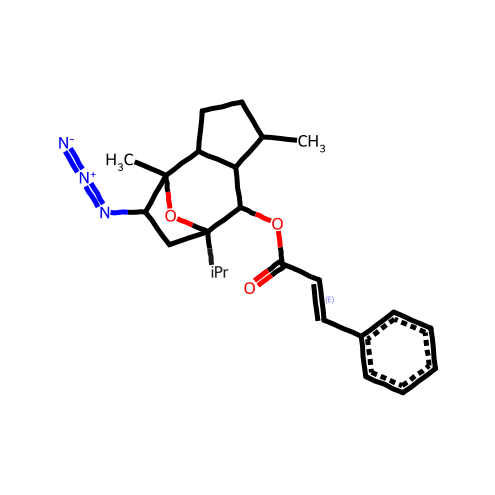 CC1CCC2C1C(OC(=O)/C=C/c1ccccc1)C1(C(C)C)CC(N=[N+]=[N-])C2(C)O1